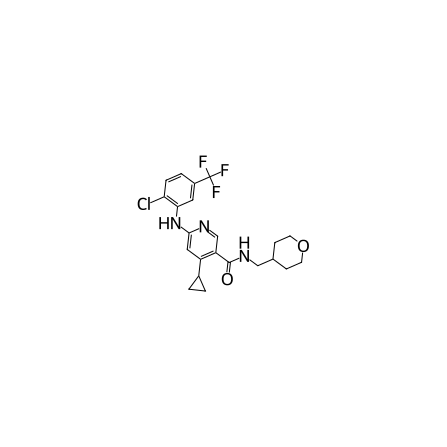 O=C(NCC1CCOCC1)c1cnc(Nc2cc(C(F)(F)F)ccc2Cl)cc1C1CC1